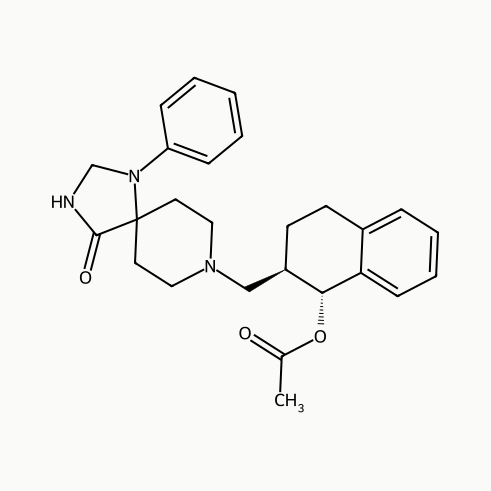 CC(=O)O[C@H]1c2ccccc2CC[C@@H]1CN1CCC2(CC1)C(=O)NCN2c1ccccc1